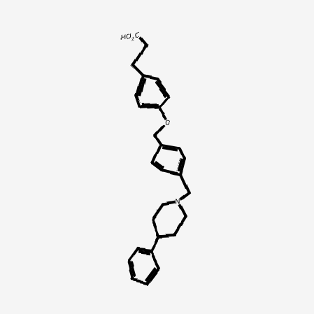 O=C(O)CCc1ccc(OCc2ccc(CN3CCC(c4ccccc4)CC3)cc2)cc1